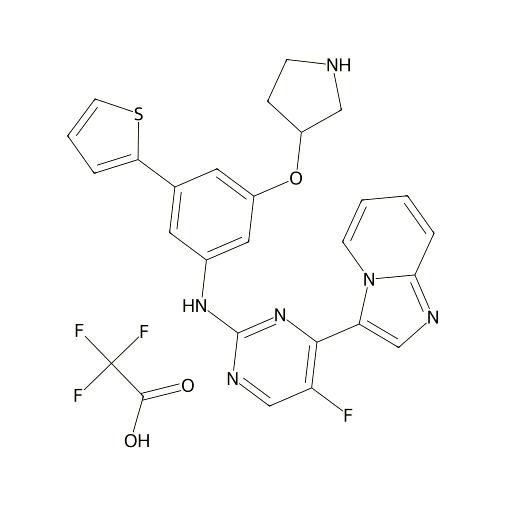 Fc1cnc(Nc2cc(OC3CCNC3)cc(-c3cccs3)c2)nc1-c1cnc2ccccn12.O=C(O)C(F)(F)F